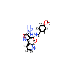 COc1ccc(CNC(=O)c2c(-c3cccnc3)noc2N)cc1